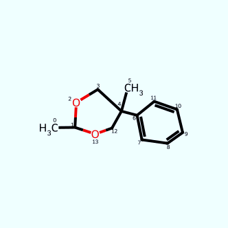 CC1OCC(C)(c2ccccc2)CO1